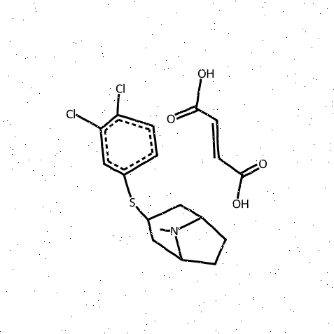 CN1C2CCC1CC(Sc1ccc(Cl)c(Cl)c1)C2.O=C(O)/C=C/C(=O)O